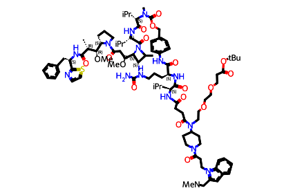 CNCc1cc2ccccc2n1CCC(=O)N1CCC(N(CCOCCOCCC(=O)OC(C)(C)C)C(=O)CCC(=O)N[C@H](C(=O)N[C@@H](CCCNC(N)=O)C(=O)Nc2ccc(COC(=O)N(C)[C@H](C(=O)N[C@H](C(=O)N3C(C)[C@H](C)[C@H]3[C@@H](CC(=O)N3CCC[C@H]3[C@H](OC)[C@@H](C)C(=O)N[C@@H](Cc3ccccc3)c3nccs3)OC)C(C)C)C(C)C)cc2)C(C)C)CC1